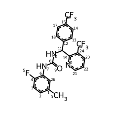 Cc1ccc(F)c(NC(=O)NC(c2ccc(C(F)(F)F)cc2)c2ncccc2C(F)(F)F)c1